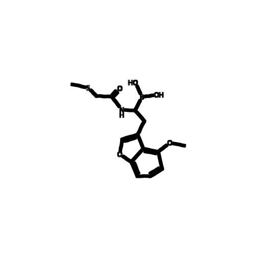 COc1cccc2occ(CC(NC(=O)CSC)B(O)O)c12